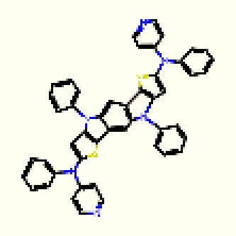 c1ccc(N(c2ccncc2)c2cc3c(s2)c2cc4c(cc2n3-c2ccccc2)c2sc(N(c3ccccc3)c3ccncc3)cc2n4-c2ccccc2)cc1